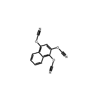 N#COc1[c]c(OC#N)c2ccc[c]c2c1OC#N